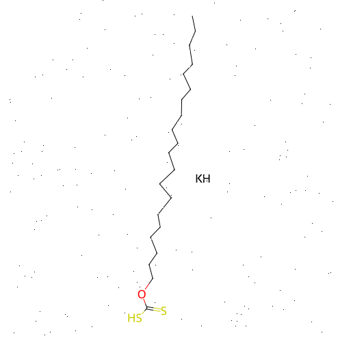 CCCCCCCCCCCCCCCCCCCCOC(=S)S.[KH]